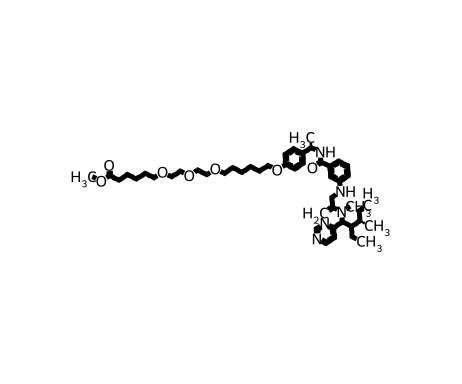 C=C(CNc1cccc(C(=O)N[C@H](C)c2ccc(OCCCCCCOCCOCCOCCCCCC(=O)OC)cc2)c1)N(C)C(c1ccncn1)C(CC)[C@H](C)CC